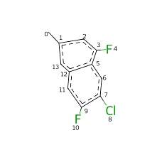 Cc1cc(F)c2cc(Cl)c(F)cc2c1